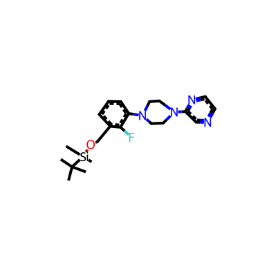 CC(C)(C)[Si](C)(C)OCc1cccc(N2CCN(c3cnccn3)CC2)c1F